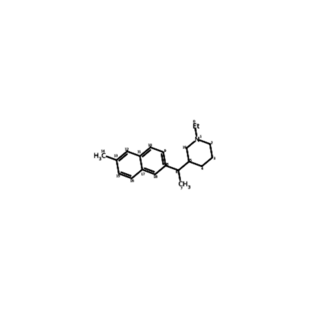 CCN1CCCC(C(C)c2ccc3cc(C)ccc3c2)C1